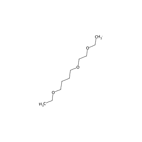 [CH2]COCCOCCCCOCC